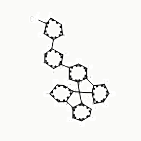 Brc1cccc(-c2cccc(-c3ccc4c(c3)C3(c5ccccc5-c5ccccc53)c3ccccc3-4)c2)c1